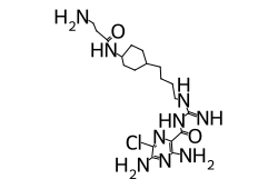 N=C(NCCCCC1CCC(NC(=O)CCN)CC1)NC(=O)c1nc(Cl)c(N)nc1N